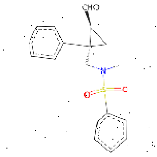 CN(C[C@@]1(c2ccccc2)C[C@@H]1C=O)S(=O)(=O)c1ccccc1